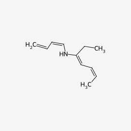 C=C/C=C\N/C(=C/C=C\C)CC